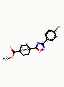 COC(=O)C12CCC(c3nc(-c4ccc(F)cc4)no3)(CC1)CC2